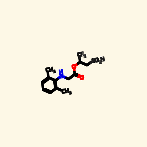 Cc1cccc(C)c1NCC(=O)OC(CS(=O)(=O)O)C(F)(F)F